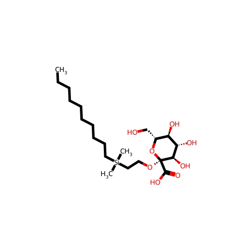 CCCCCCCCCC[Si](C)(C)CCO[C@]1(C(=O)O)O[C@H](CO)[C@@H](O)[C@H](O)[C@H]1O